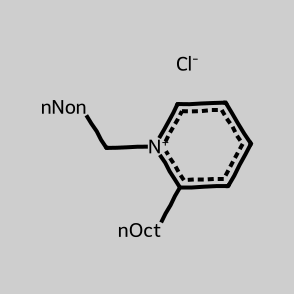 CCCCCCCCCC[n+]1ccccc1CCCCCCCC.[Cl-]